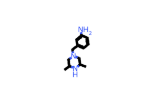 CC1CN(Cc2cccc(N)c2)CC(C)N1